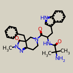 CN1N=C2CCN(C(=O)C(Cc3c[nH]c4ccccc34)NC(=O)C(C)(C)N)CC2(Cc2ccccc2)C1=O